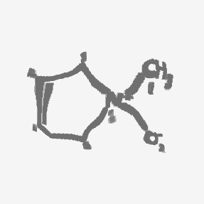 C[N+]1([O-])CC=CC1